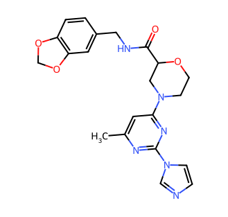 Cc1cc(N2CCOC(C(=O)NCc3ccc4c(c3)OCO4)C2)nc(-n2ccnc2)n1